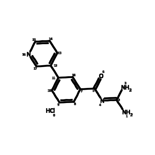 Cl.NC(N)=NC(=O)c1cccc(-c2cccnc2)c1